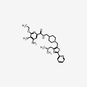 CCOc1nc(C(=O)NCC2CCN(Cc3sc(-c4ccccn4)nc3CN(C)C)CC2)cc(N)c1N